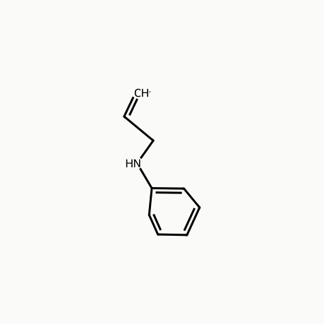 [CH]=CCNc1ccccc1